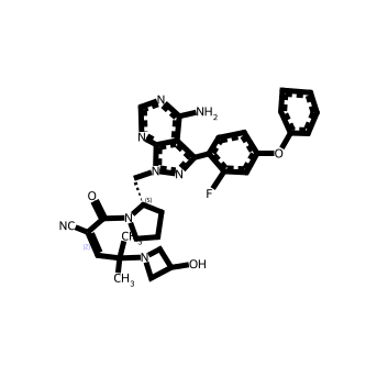 CC(C)(/C=C(/C#N)C(=O)N1CCC[C@H]1Cn1nc(-c2ccc(Oc3ccccc3)cc2F)c2c(N)ncnc21)N1CC(O)C1